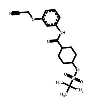 CC(C)(C)S(=O)(=O)NC1CCC(C(=O)Nc2cccc(OCC#N)c2)CC1